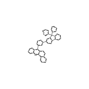 c1ccc(C2(c3ccccc3)c3ccccc3-c3ccc(-c4cccc(-c5c6ccccc6nc6c5ccc5ccccc56)c4)cc32)cc1